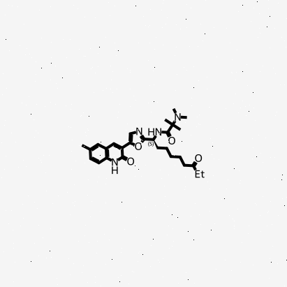 CCC(=O)CCCCC[C@H](NC(=O)C(C)(C)N(C)C)c1ncc(-c2cc3cc(C)ccc3[nH]c2=O)o1